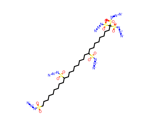 [N-]=[N+]=NS(=O)(=O)CCCCCCCCCC(CCCCCCCCC(CCCCCCCCC(S(=O)(=O)N=[N+]=[N-])(S(=O)(=O)N=[N+]=[N-])S(=O)(=O)N=[N+]=[N-])S(=O)(=O)N=[N+]=[N-])S(=O)(=O)N=[N+]=[N-]